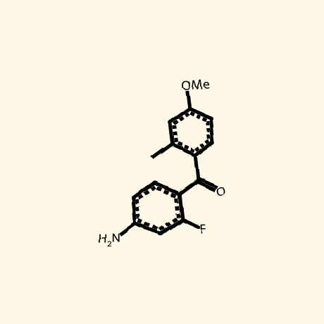 COc1ccc(C(=O)c2ccc(N)cc2F)c(C)c1